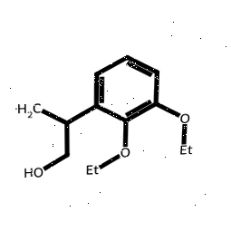 [CH2]C(CO)c1cccc(OCC)c1OCC